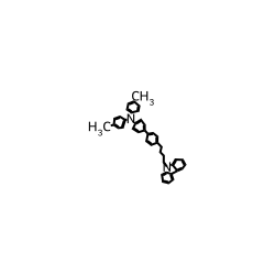 Cc1ccc(N(c2ccc(C)cc2)c2ccc(-c3ccc(CCCCn4c5ccccc5c5ccccc54)cc3)cc2)cc1